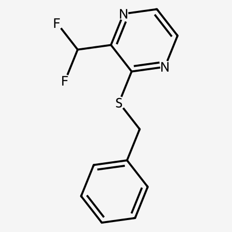 FC(F)c1nccnc1SCc1ccccc1